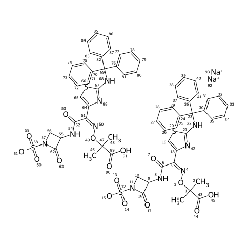 CC(C)(ON=C(C(=O)NC1CN(S(=O)(=O)[O-])C1=O)c1csc(NC(c2ccccc2)(c2ccccc2)c2ccccc2)n1)C(=O)O.CC(C)(ON=C(C(=O)NC1CN(S(=O)(=O)[O-])C1=O)c1csc(NC(c2ccccc2)(c2ccccc2)c2ccccc2)n1)C(=O)O.[Na+].[Na+]